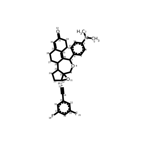 CN(C)c1ccc(C2OCC34O[C@@]3(C#Cc3cc(F)cc(F)c3)CCC4C3CCC4=CC(=O)CCC4=C23)cc1